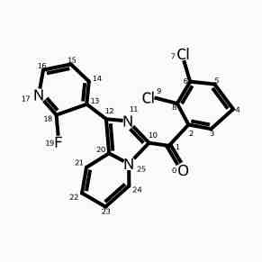 O=C(c1cccc(Cl)c1Cl)c1nc(-c2cccnc2F)c2ccccn12